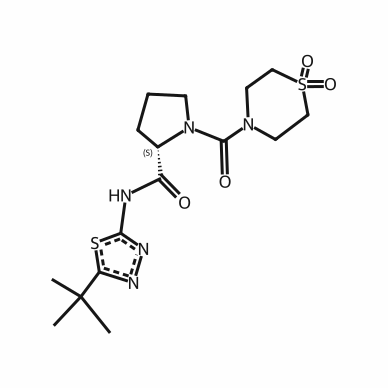 CC(C)(C)c1nnc(NC(=O)[C@@H]2CCCN2C(=O)N2CCS(=O)(=O)CC2)s1